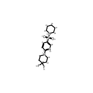 O=S(=O)(c1ccc(N2CCC(F)(F)CC2)nc1)N1CC[CH]CC1